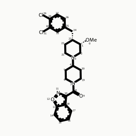 CO[C@@H]1CN(C2CCN(C(=O)c3noc4ccccc34)CC2)CC[C@@H]1Cc1ccc(Cl)c(Cl)c1